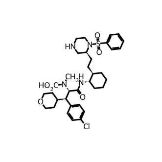 CN(C(=O)O)[C@H](C(=O)N[C@H]1CCCC[C@@H]1CC[C@H]1CNCCN1S(=O)(=O)c1ccccc1)[C@@H](c1ccc(Cl)cc1)C1CCOCC1